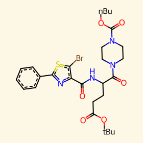 CCCCOC(=O)N1CCN(C(=O)C(CCC(=O)OC(C)(C)C)NC(=O)c2nc(-c3ccccc3)sc2Br)CC1